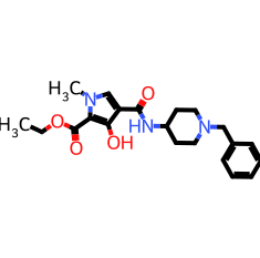 CCOC(=O)c1c(O)c(C(=O)NC2CCN(Cc3ccccc3)CC2)cn1C